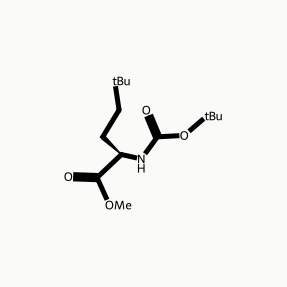 COC(=O)[C@@H](CCC(C)(C)C)NC(=O)OC(C)(C)C